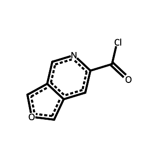 O=C(Cl)c1cc2cocc2cn1